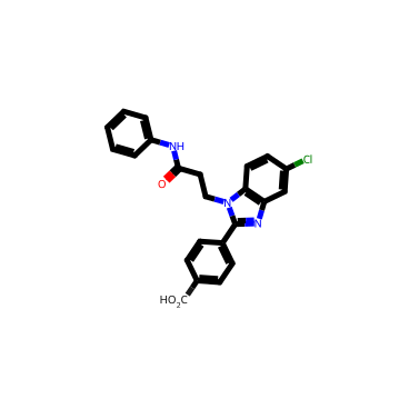 O=C(CCn1c(-c2ccc(C(=O)O)cc2)nc2cc(Cl)ccc21)Nc1ccccc1